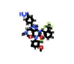 COc1cccc(-n2c(=O)c3c(CN(C)C)n(-c4ccc(N)cc4)nc3n(Cc3ccccc3C(F)(F)F)c2=O)c1F